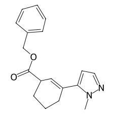 Cn1nccc1C1=CC(C(=O)OCc2ccccc2)CCC1